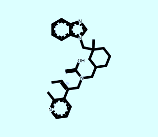 C=C(O)N(C/C(=C/C)c1cccnc1C)CC1CCCC(C)(Cn2cnc3ccccc32)C1